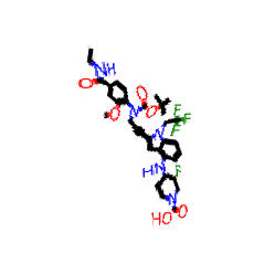 CCNC(=O)c1ccc(N(CC#Cc2cc3c(N[C@@H]4CCN(C(=O)O)C[C@@H]4F)cccc3n2CC(F)(F)F)C(=O)OC(C)(C)C)c(OC)c1